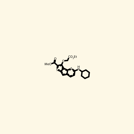 CCOC(=O)COc1c(C(=O)OC)sc2cc3ccc(NC4CCCCC4)sc-3c12